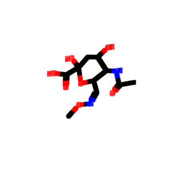 CO/N=C\C1OC(O)(C(=O)O)CC(O)C1NC(C)=O